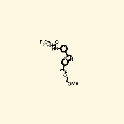 COCCON=C(C)c1ccn2c(-c3cccc(NC(=O)NCC(F)(F)F)c3)cnc2c1